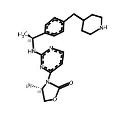 CC(C)[C@H]1COC(=O)N1c1ccnc(N[C@@H](C)c2ccc(CC3CCNCC3)cc2)n1